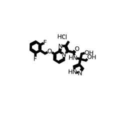 Cc1nc2c(OCc3c(F)cccc3F)cccn2c1C(=O)NC(CO)(CO)c1cn[nH]c1.Cl